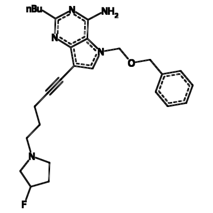 CCCCc1nc(N)c2c(n1)c(C#CCCCN1CCC(F)C1)cn2COCc1ccccc1